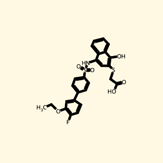 CCOc1cc(-c2ccc(S(=O)(=O)Nc3cc(SCC(=O)O)c(O)c4ccccc34)cc2)ccc1F